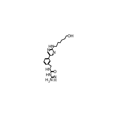 N=C(N)NC(=O)NCc1cccc(-c2cnc(NCCCCCCO)nc2)c1